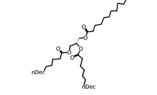 CCCCCCCCCCCCCCCCCCCC(=O)OC[C@@H](COC(=O)CCCCCCCCCCCCCC)OC(=O)CCCCCCCCCCCCCCC